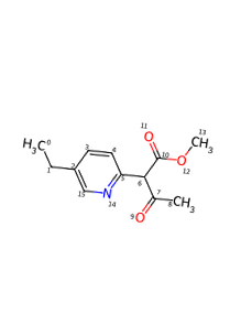 CCc1ccc(C(C(C)=O)C(=O)OC)nc1